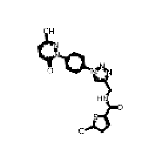 O=C(NCc1cn(-c2ccc(-n3nc(O)ccc3=O)cc2)nn1)C1=CCC(Cl)S1